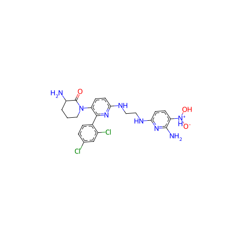 Nc1nc(NCCNc2ccc(N3CCCC(N)C3=O)c(-c3ccc(Cl)cc3Cl)n2)ccc1[NH+]([O-])O